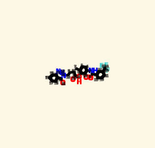 O=C(Nc1ccc(C[C@@H](CCn2nnc3ccccc3c2=O)C(=O)O)cc1O)c1cccc(C(F)(F)F)c1